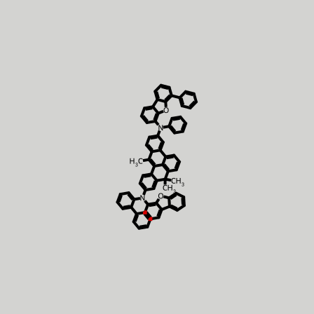 Cc1c2c3c(cccc3c3cc(N(c4ccccc4)c4cccc5c4oc4c(-c6ccccc6)cccc45)ccc13)C(C)(C)c1cc(N(c3ccccc3-c3ccccc3)c3cccc4c3oc3ccccc34)ccc1-2